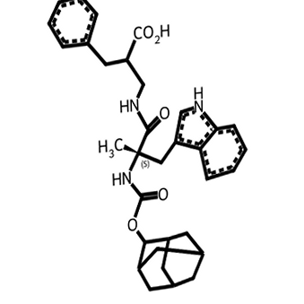 C[C@@](Cc1c[nH]c2ccccc12)(NC(=O)OC1C2CC3CC(C2)CC1C3)C(=O)NCC(Cc1ccccc1)C(=O)O